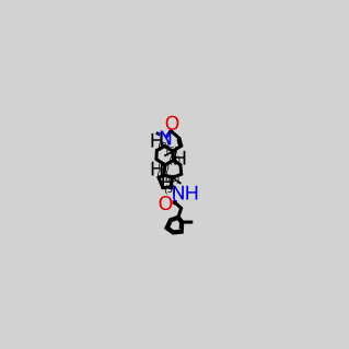 Cc1ccccc1CC(=O)N[C@H]1CC[C@H]2[C@@H]3CC[C@H]4N(C)C(=O)C=C[C@]4(C)[C@H]3CC[C@]12C